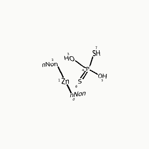 CCCCCCCC[CH2][Zn][CH2]CCCCCCCC.OP(O)(=S)S